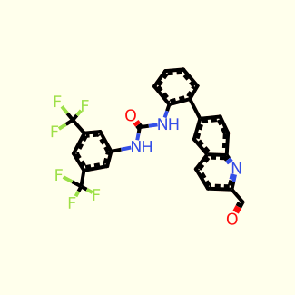 O=Cc1ccc2cc(-c3ccccc3NC(=O)Nc3cc(C(F)(F)F)cc(C(F)(F)F)c3)ccc2n1